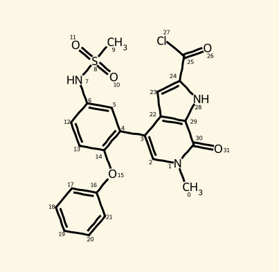 Cn1cc(-c2cc(NS(C)(=O)=O)ccc2Oc2ccccc2)c2cc(C(=O)Cl)[nH]c2c1=O